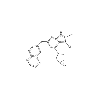 CCc1[nH]c2nc(Sc3cnc4nccnc4c3)nc(N3CC4NC4C3)c2c1Cl